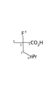 CCCCC(C)(F)C(=O)O